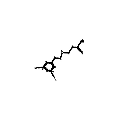 O=C(O)CCOCCc1cc(F)cc(F)c1